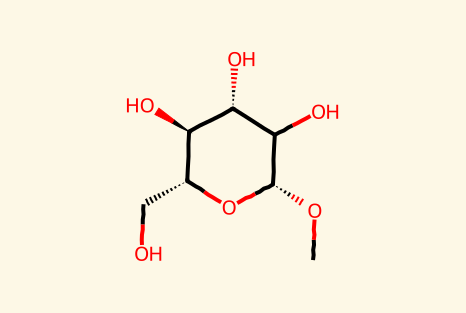 CO[C@@H]1O[C@H](CO)[C@@H](O)[C@H](O)C1O